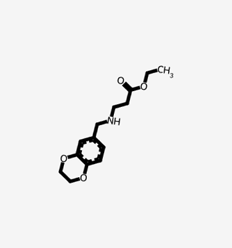 CCOC(=O)CCNCc1ccc2c(c1)OCCO2